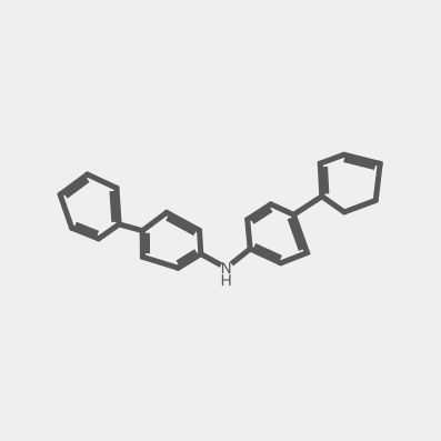 C1=CCCC(c2ccc(Nc3ccc(-c4ccccc4)cc3)cc2)=C1